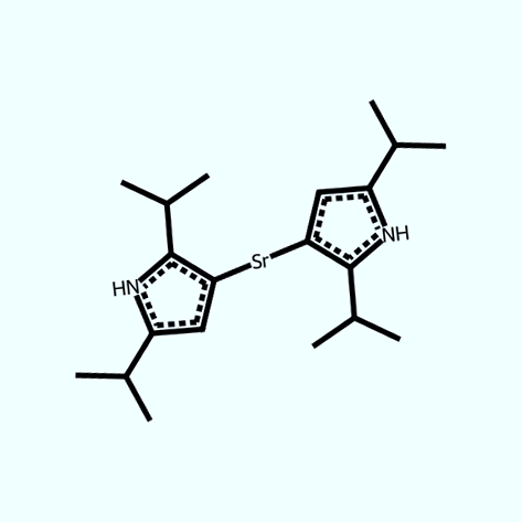 CC(C)c1c[c]([Sr][c]2cc(C(C)C)[nH]c2C(C)C)c(C(C)C)[nH]1